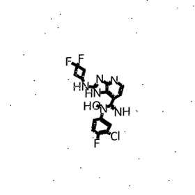 N=C(c1ccnc2nc(NC3CC(F)(F)C3)[nH]c12)N(O)c1ccc(F)c(Cl)c1